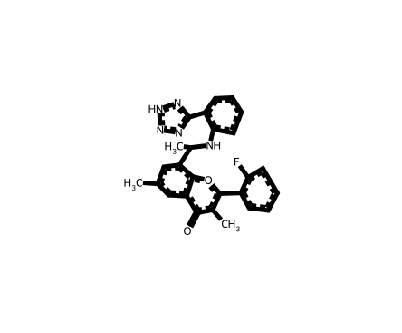 Cc1cc(C(C)Nc2ccccc2-c2nn[nH]n2)c2oc(-c3ccccc3F)c(C)c(=O)c2c1